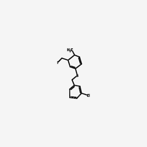 CC1C=CC(SCc2cccc(Cl)c2)=CC1CI